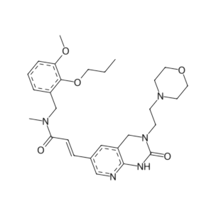 CCCOc1c(CN(C)C(=O)C=Cc2cnc3c(c2)CN(CCN2CCOCC2)C(=O)N3)cccc1OC